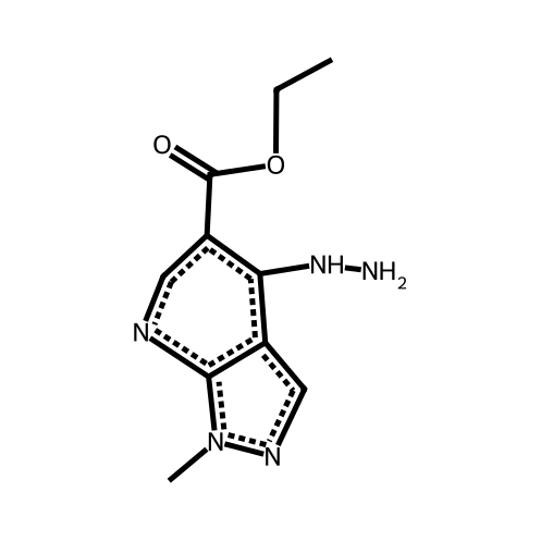 CCOC(=O)c1cnc2c(cnn2C)c1NN